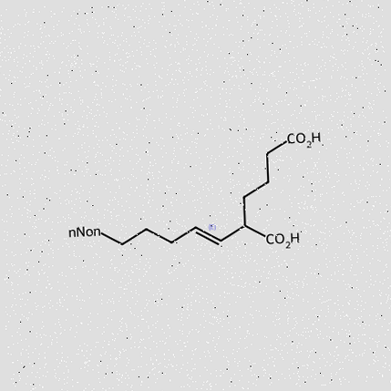 CCCCCCCCCCCC/C=C/C(CCCC(=O)O)C(=O)O